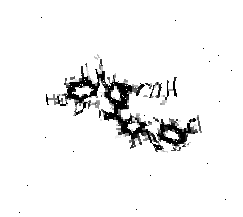 C=C(c1cc(C(=O)O)cc(N(C)c2ccc(O)c(O)c2)c1)c1ccc(N(C)c2ccc(Cl)cc2)cn1